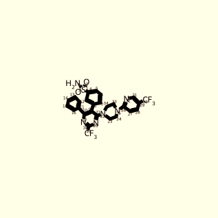 NS(=O)(=O)c1cccc(-c2c(-c3ccccc3)nc(C(F)(F)F)nc2N2CCN(c3ccc(C(F)(F)F)cn3)CC2)c1